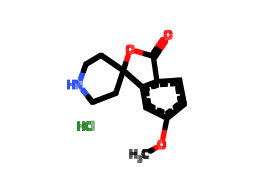 COc1ccc2c(c1)C1(CCNCC1)OC2=O.Cl